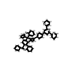 c1ccc(-c2nc3ccccc3c3c4c(ccc23)C2(c3ccccc3Sc3ccccc32)c2cc(-c3ccc(-c5cc(-c6ccccn6)nc(-c6ccccn6)c5)cc3)ccc2-4)cc1